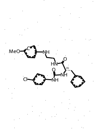 COc1ccc(NCCNC(=O)[C@H](Cc2ccccc2)NC(=O)Nc2ccc(Cl)cc2)cc1